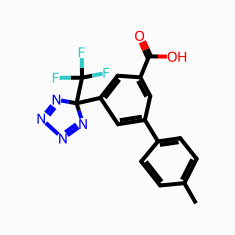 Cc1ccc(-c2cc(C(=O)O)cc(C3(C(F)(F)F)N=NN=N3)c2)cc1